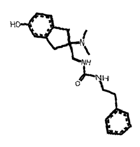 CN(C)C1(CNC(=O)NCCc2ccccc2)Cc2ccc(O)cc2C1